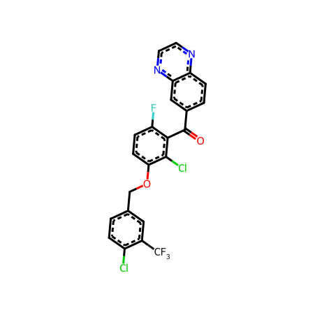 O=C(c1ccc2nccnc2c1)c1c(F)ccc(OCc2ccc(Cl)c(C(F)(F)F)c2)c1Cl